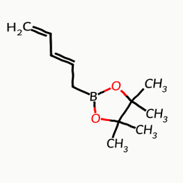 C=C/C=C/CB1OC(C)(C)C(C)(C)O1